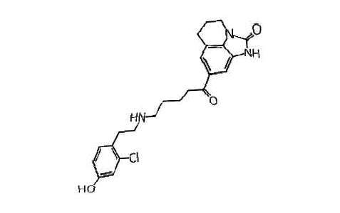 O=C(CCCCNCCc1ccc(O)cc1Cl)c1cc2c3c(c1)[nH]c(=O)n3CCC2